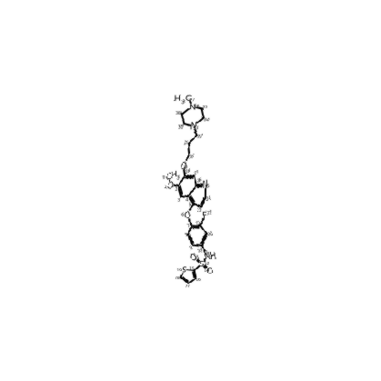 COc1cc2c(Oc3ccc(NS(=O)(=O)c4cccs4)cc3F)ccnc2cc1OCCCN1CCN(C)CC1